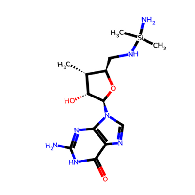 C[C@H]1[C@@H](O)[C@H](n2cnc3c(=O)[nH]c(N)nc32)O[C@@H]1CN[Si](C)(C)N